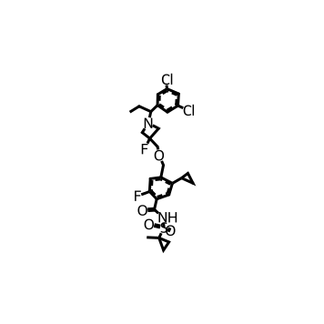 CCC(c1cc(Cl)cc(Cl)c1)N1CC(F)(COCc2cc(F)c(C(=O)NS(=O)(=O)C3(C)CC3)cc2C2CC2)C1